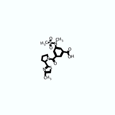 Cc1csc(C2CCCN2C(=O)c2cc(C(=O)O)cc(N(C)S(C)(=O)=O)c2)n1